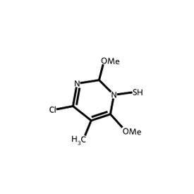 COC1=C(C)C(Cl)=NC(OC)N1S